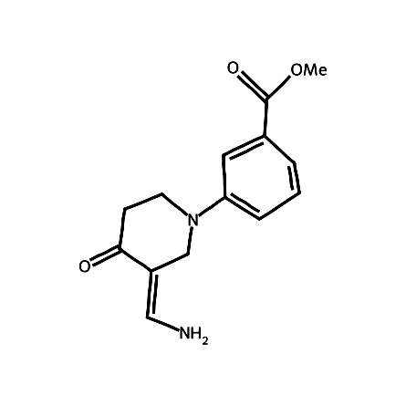 COC(=O)c1cccc(N2CCC(=O)/C(=C/N)C2)c1